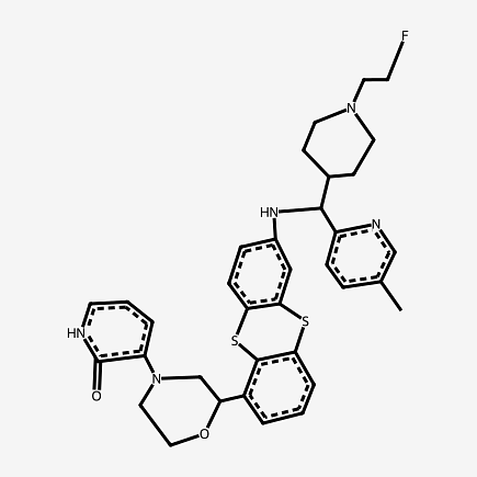 Cc1ccc(C(Nc2ccc3c(c2)Sc2cccc(C4CN(c5ccc[nH]c5=O)CCO4)c2S3)C2CCN(CCF)CC2)nc1